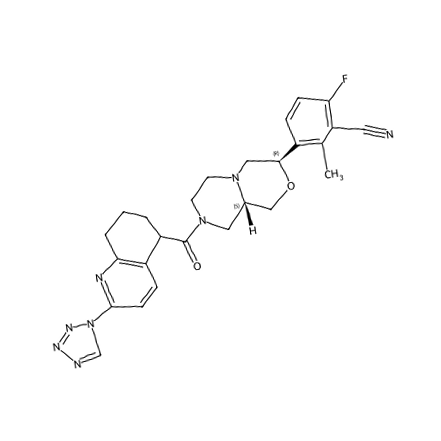 Cc1c([C@@H]2CN3CCN(C(=O)C4CCCc5nc(-n6cnnn6)ccc54)C[C@H]3CO2)ccc(F)c1C#N